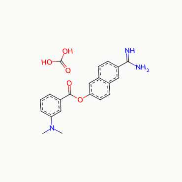 CN(C)c1cccc(C(=O)Oc2ccc3cc(C(=N)N)ccc3c2)c1.O=C(O)O